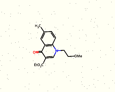 CCOC(=O)c1cn(CCOC)c2ccc(C)cc2c1=O